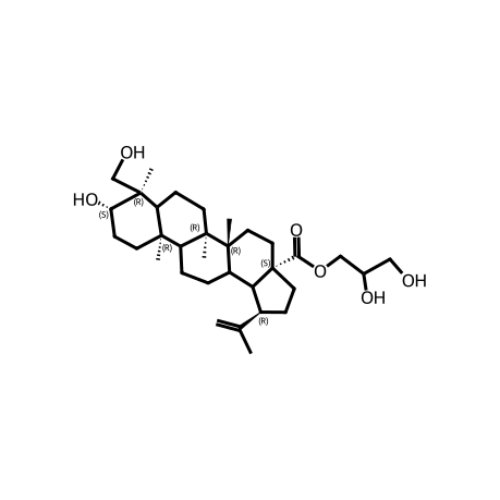 C=C(C)[C@@H]1CC[C@]2(C(=O)OCC(O)CO)CC[C@]3(C)C(CCC4[C@@]5(C)CC[C@H](O)[C@@](C)(CO)C5CC[C@]43C)C12